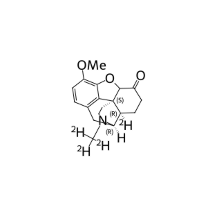 [2H]C([2H])([2H])N1CC[C@]23c4c5ccc(OC)c4OC2C(=O)CC[C@@]3([2H])[C@H]1C5